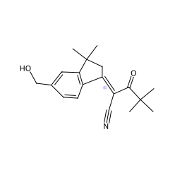 CC(C)(C)C(=O)/C(C#N)=C1\CC(C)(C)c2cc(CO)ccc21